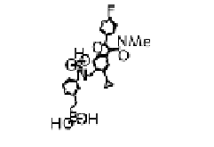 CNC(=O)c1c(-c2ccc(F)cc2)oc2cc(CN(c3cccc(CCB(O)O)c3)[SH](=O)=O)c(C3CC3)cc12